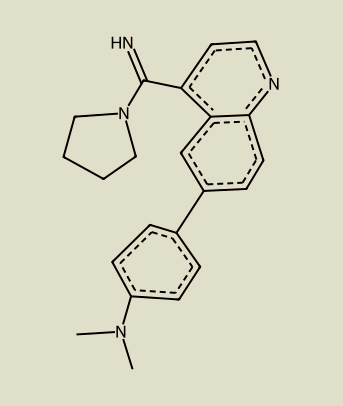 CN(C)c1ccc(-c2ccc3nccc(C(=N)N4CCCC4)c3c2)cc1